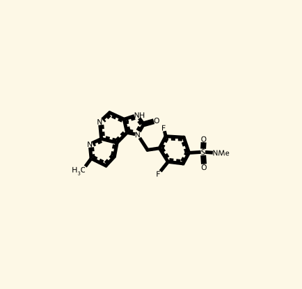 CNS(=O)(=O)c1cc(F)c(Cn2c(=O)[nH]c3cnc4nc(C)ccc4c32)c(F)c1